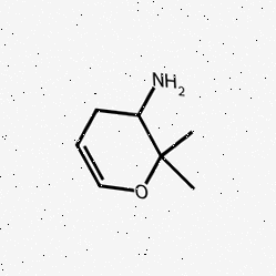 CC1(C)OC=CCC1N